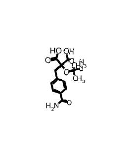 CC(C)(C)OC(Cc1ccc(C(N)=O)cc1)(C(=O)O)C(=O)O